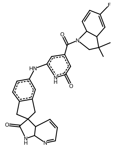 CC1(C)CN(C(=O)c2cc(Nc3ccc4c(c3)CC3(C4)C(=O)NC4N=CC=CC43)[nH]c(=O)c2)C2C=CC(F)=CC21